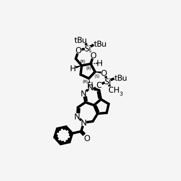 CC(C)(C)[Si](C)(C)O[C@@H]1[C@@H]2O[Si](C(C)(C)C)(C(C)(C)C)OC[C@H]2C[C@H]1N1C=C2CCC3=C2C(=N1)C=NN(C(=O)c1ccccc1)C3